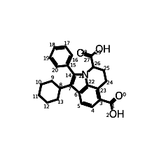 O=C(O)c1ccc2c(C3CCCCC3)c(-c3ccccc3)n3c2c1CCC3C(=O)O